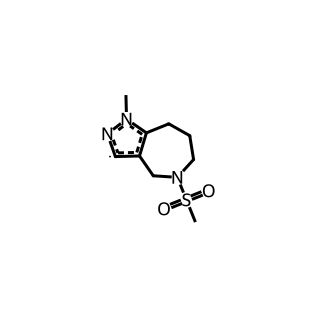 Cn1n[c]c2c1CCCN(S(C)(=O)=O)C2